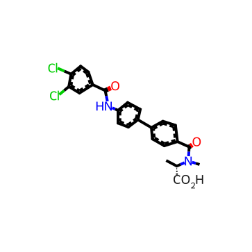 C[C@@H](C(=O)O)N(C)C(=O)c1ccc(-c2ccc(NC(=O)c3ccc(Cl)c(Cl)c3)cc2)cc1